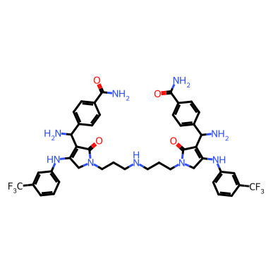 NC(=O)c1ccc(C(N)C2=C(Nc3cccc(C(F)(F)F)c3)CN(CCCNCCCN3CC(Nc4cccc(C(F)(F)F)c4)=C(C(N)c4ccc(C(N)=O)cc4)C3=O)C2=O)cc1